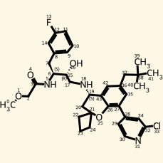 COCC(=O)N[C@@H](Cc1cccc(F)c1)[C@H](O)CN[C@H]1CC2(CCC2)Oc2c(-c3ccnc(Cl)c3)cc(CC(C)(C)C)cc21